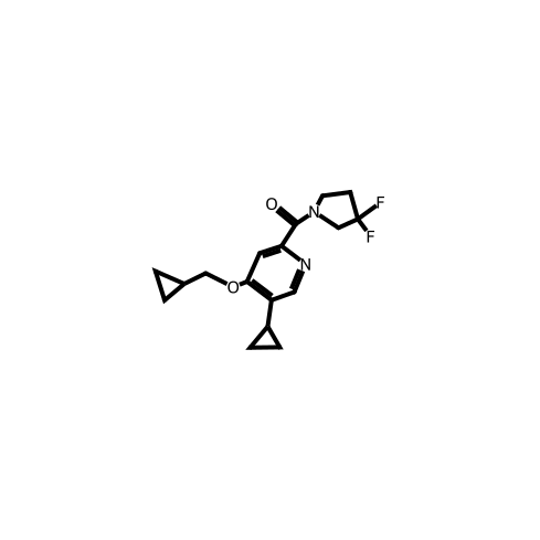 O=C(c1cc(OCC2CC2)c(C2CC2)cn1)N1CCC(F)(F)C1